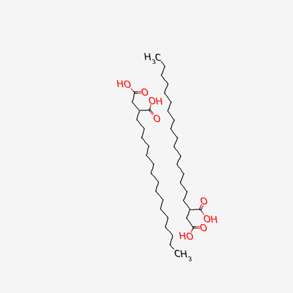 CCCCCCCCCCCCCCCCC(CC(=O)O)C(=O)O.CCCCCCCCCCCCCCCCCC(CC(=O)O)C(=O)O